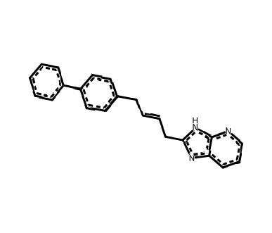 C(=CCc1nc2cccnc2[nH]1)Cc1ccc(-c2ccccc2)cc1